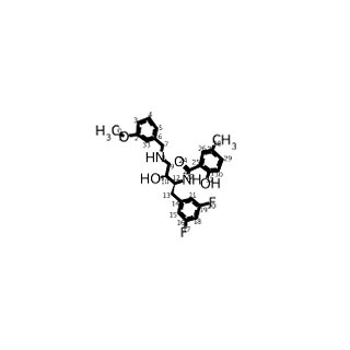 COc1cccc(CNC[C@H](O)[C@H](Cc2cc(F)cc(F)c2)NC(=O)c2cc(C)ccc2O)c1